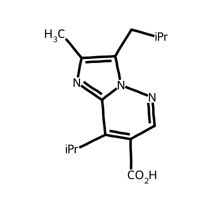 Cc1nc2c(C(C)C)c(C(=O)O)cnn2c1CC(C)C